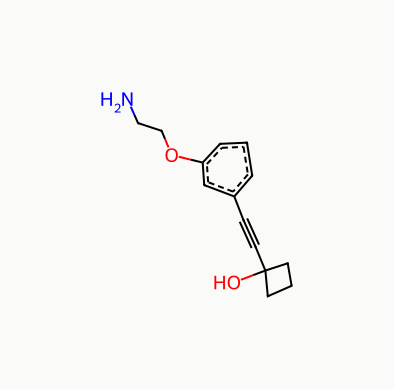 NCCOc1cccc(C#CC2(O)CCC2)c1